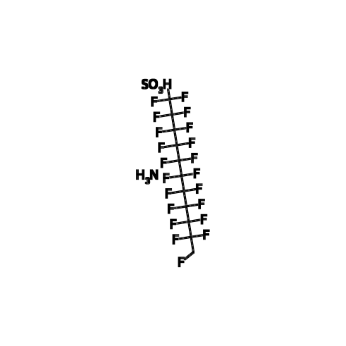 N.O=S(=O)(O)C(F)(F)C(F)(F)C(F)(F)C(F)(F)C(F)(F)C(F)(F)C(F)(F)C(F)(F)C(F)(F)C(F)(F)CF